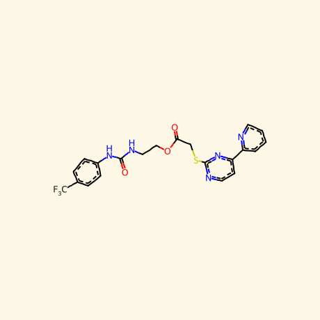 O=C(NCCOC(=O)CSc1nccc(-c2ccccn2)n1)Nc1ccc(C(F)(F)F)cc1